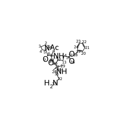 CC(=O)N1CCCC1C(=O)C(C)(C)NC(CCC(=O)OCc1ccccc1)C(=O)C(C)(C)NCCN